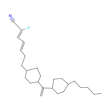 C=C(C1CCC(CCC=CC=C(F)C#N)CC1)C1CCC(CCCCC)CC1